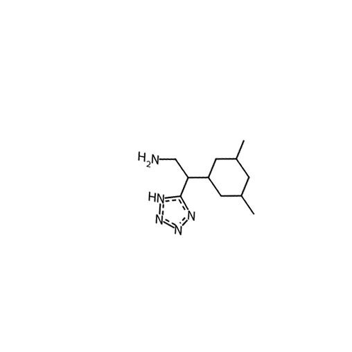 CC1CC(C)CC(C(CN)c2nnn[nH]2)C1